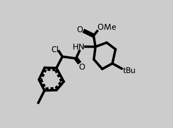 COC(=O)C1(NC(=O)C(Cl)c2ccc(C)cc2)CCC(C(C)(C)C)CC1